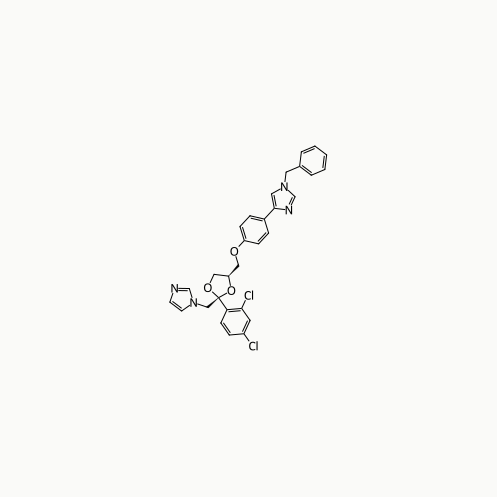 Clc1ccc([C@]2(Cn3ccnc3)OC[C@@H](COc3ccc(-c4cn(Cc5ccccc5)cn4)cc3)O2)c(Cl)c1